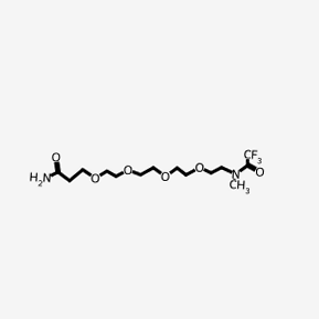 CN(CCOCCOCCOCCOCCC(N)=O)C(=O)C(F)(F)F